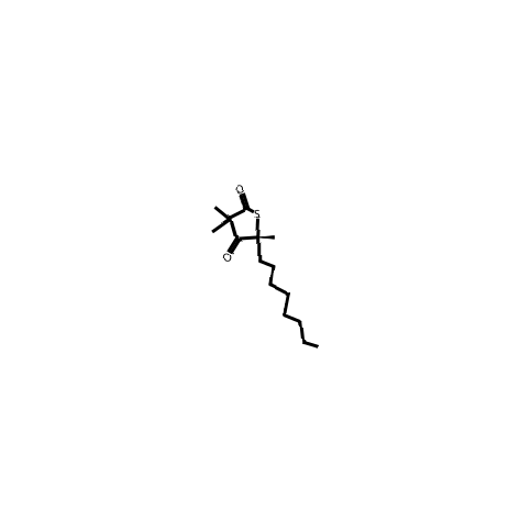 CCCCCCCC[C@@]1(C)SC(=O)C(C)(C)C1=O